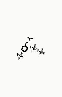 CC(C)OCc1ccccc1.F[B-](F)(F)F.F[B-](F)(F)F.F[B-](F)(F)F